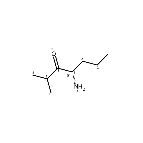 CCC[C@H](N)C(=O)C(C)C